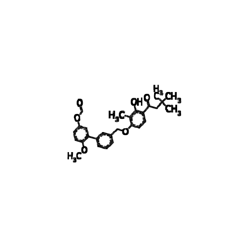 COc1ccc(OC=O)cc1-c1cccc(COc2ccc(C(=O)CC(C)(C)C)c(O)c2C)c1